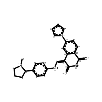 CN1CCCC1c1ccc(NC=C2C(=O)NC(=O)c3ccc(-n4cccc4)cc32)nc1